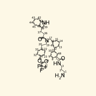 NCCCNC(=O)c1cccc(-c2cccc(CN(CCc3ccc(OC(=O)C(F)(F)F)cc3)C(=O)CCc3c[nH]c4ccccc34)c2)c1